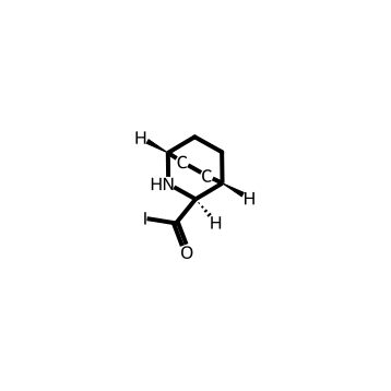 O=C(I)[C@H]1N[C@H]2CC[C@@H]1CC2